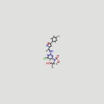 Cc1ccc(-c2cc([C@H](C)Nc3nc(Cl)cc(N4C(=O)OC[C@@H]4[C@@H](C)O)n3)no2)cc1